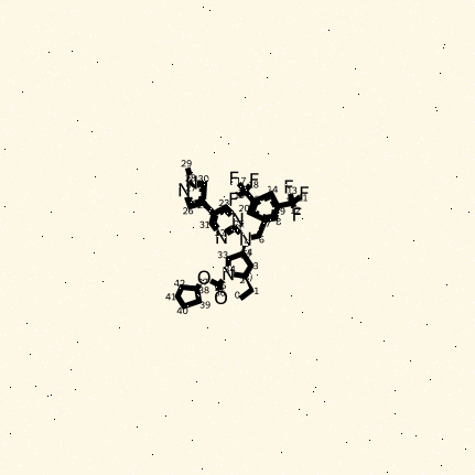 CC[C@@H]1C[C@H](N(Cc2cc(C(F)(F)F)cc(C(F)(F)F)c2)c2ncc(-c3cnn(C)c3)cn2)CN1C(=O)OC1CCCC1